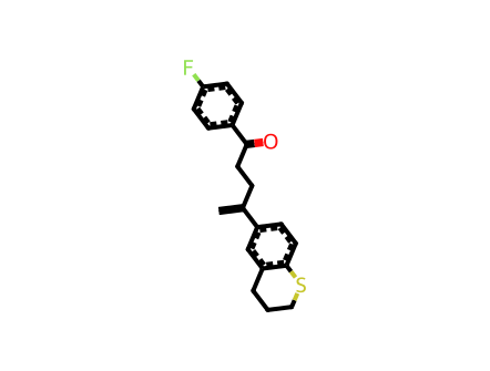 C=C(CCC(=O)c1ccc(F)cc1)c1ccc2c(c1)CCCS2